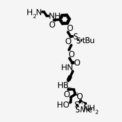 CSS[C@H](CN)O[C@@H]1C[C@H](BC#CCNC(=O)COCCOC(COc2cccc(C(=O)NCCN)c2)SSC(C)(C)C)OC1CO